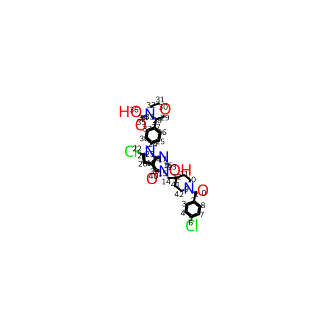 O=C(c1ccc(Cl)cc1)N1CCC(O)(Cn2cnc3c(cc(Cl)n3-c3ccc(C4COCCN4C(=O)O)cc3)c2=O)CC1